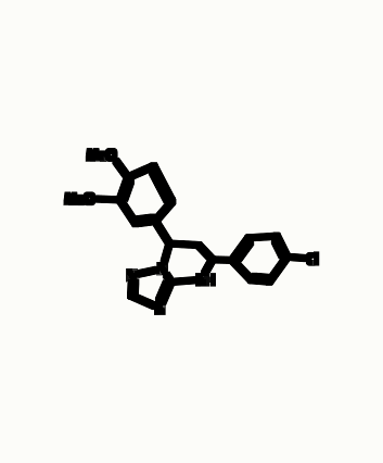 COc1ccc(C2CC(c3ccc(Cl)cc3)Nc3ncnn32)cc1OC